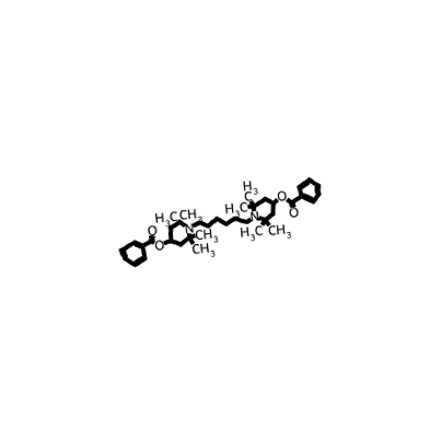 CC1(C)CC(OC(=O)c2ccccc2)CC(C)(C)N1CCCCCCN1C(C)(C)CC(OC(=O)c2ccccc2)CC1(C)C